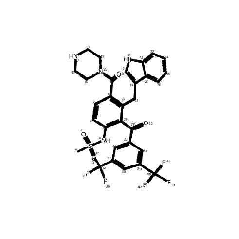 CS(=O)(=O)Nc1ccc(C(=O)N2CCNCC2)c(Cc2c[nH]c3ccccc23)c1C(=O)c1cc(C(F)(F)F)cc(C(F)(F)F)c1